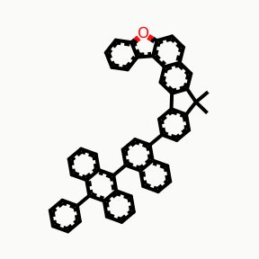 CC1(C)c2ccc(-c3ccc(-c4c5ccccc5c(-c5ccccc5)c5ccccc45)c4ccccc34)cc2-c2cc3c(ccc4oc5ccccc5c43)cc21